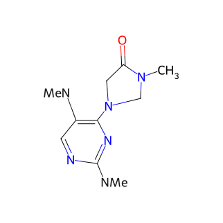 CNc1ncc(NC)c(N2CC(=O)N(C)C2)n1